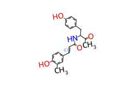 CC(=O)C(Cc1ccc(O)cc1)NC(=O)/C=C/c1ccc(O)c(C)c1